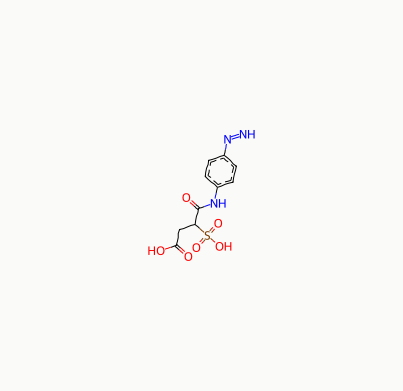 N=Nc1ccc(NC(=O)C(CC(=O)O)S(=O)(=O)O)cc1